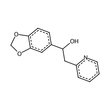 OC(Cc1ccccn1)c1ccc2c(c1)OCO2